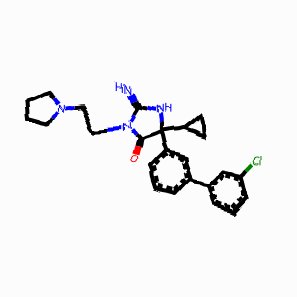 N=C1NC(c2cccc(-c3cccc(Cl)c3)c2)(C2CC2)C(=O)N1CCN1CCCC1